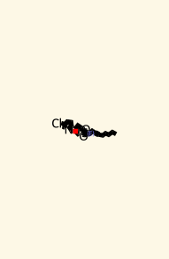 CCCCCC#C/C=C/S(=O)(=O)N1CCN(c2ccc(Cl)cn2)CC1